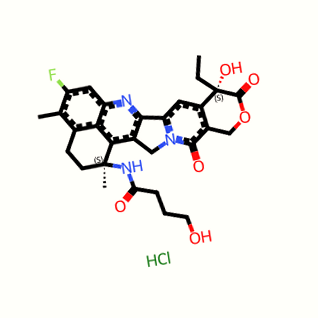 CC[C@@]1(O)C(=O)OCc2c1cc1n(c2=O)Cc2c-1nc1cc(F)c(C)c3c1c2[C@@](C)(NC(=O)CCCO)CC3.Cl